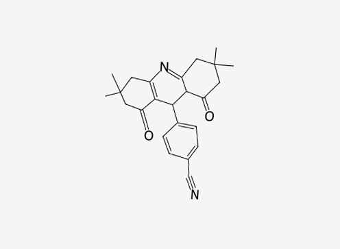 CC1(C)CC(=O)C2C(=NC3=C(C(=O)CC(C)(C)C3)C2c2ccc(C#N)cc2)C1